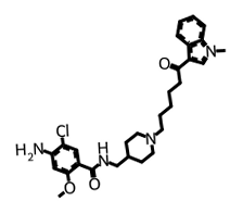 COc1cc(N)c(Cl)cc1C(=O)NCC1CCN(CCCCCC(=O)c2cn(C)c3ccccc23)CC1